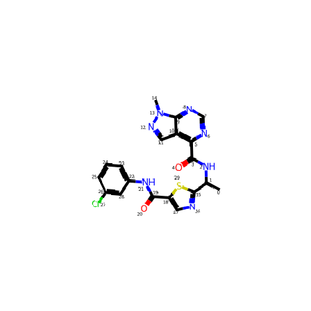 CC(NC(=O)c1ncnc2c1cnn2C)c1ncc(C(=O)Nc2cccc(Cl)c2)s1